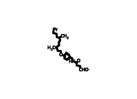 CC(C)CCCC(C)CCCC(C)CCOc1ccc(CNC(=O)CC[C]=O)cc1